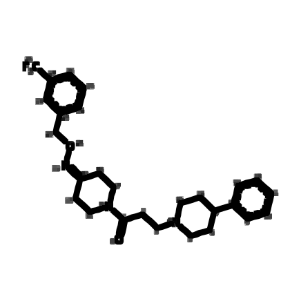 O=C(CCN1CCC(c2ccccc2)CC1)N1CCC(=NOCc2cccc(C(F)(F)F)c2)CC1